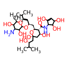 CC(C)/C=C/[C@@H](C[C@@H]1O[C@](O)(C[C@@H](O)C(C)C)C[C@H](O)[C@H]1C(=O)NC1C(O)=CC(O)C1O)OC1OC(C)C(O)C(N)C1O